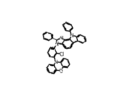 Clc1c(N2c3ccccc3Oc3ccccc32)cccc1-n1c(-c2ccccc2)nc2c1ccc1c3ccccc3n(-c3ccccc3)c12